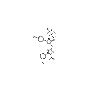 CC(=O)c1nc(Cn2nc(-c3ccc(Cl)cc3)n(CC3(C(F)(F)F)OCCO3)c2=O)nn1-c1cccc(Cl)c1